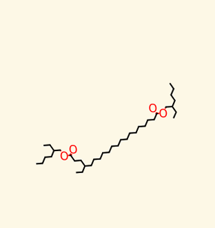 CCCCC(CC)COC(=O)CCCCCCCCCCCCCCCC(CC)CCC(=O)OCC(CC)CCCC